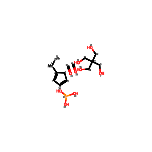 CC[CH2][Mn][C]1=CC=CC1.OCC(CO)(CO)CO.OP(O)O.[C]=O.[C]=O